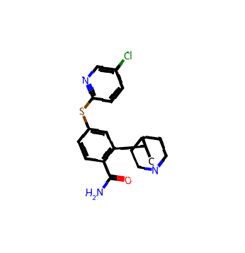 NC(=O)c1ccc(Sc2ccc(Cl)cn2)cc1C1CN2CCC1CC2